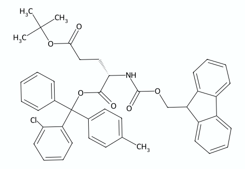 Cc1ccc(C(OC(=O)[C@H](CCC(=O)OC(C)(C)C)NC(=O)OCC2c3ccccc3-c3ccccc32)(c2ccccc2)c2ccccc2Cl)cc1